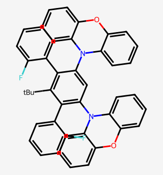 CC(C)(C)c1c(-c2ccccc2F)c(N2c3ccccc3Oc3ccccc32)cc(N2c3ccccc3Oc3ccccc32)c1-c1ccccc1F